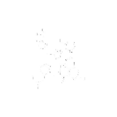 Cc1cc(Cl)cc(C(=O)NCc2ccccc2OC(F)F)c1NC(=O)c1cc(Cn2nnc(C(F)(F)F)n2)nn1-c1ncccc1Cl